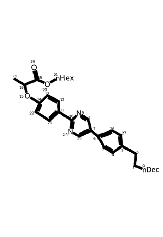 CCCCCCCCCCCCc1ccc(-c2cnc(-c3ccc(OC(C)C(=O)OCCCCCC)cc3)nc2)cc1